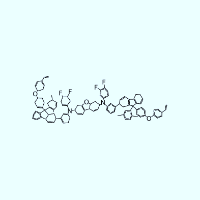 C=CC1=CCC(OC2CC=C(C3(C4=C(C)C=CC(C)C4)c4ccccc4C4C=CC(C5=CCCC(N(C6=CCC(F)C(F)C6)C6C=CC7=C(C6)OC6CC(N(c8cccc(C9C=CC%10=C(C9)C(c9ccc(Oc%11ccc(C=C)cc%11)cc9)(c9cc(C)ccc9C)C9=C%10CCC=C9)c8)c8ccc(F)c(F)c8)C=CC76)=C5)CC43)CC2)C=C1